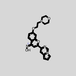 O/N=c1\cc(-c2cc3cccn3cn2)oc2cc(OCCN3CCOCC3)ccc12